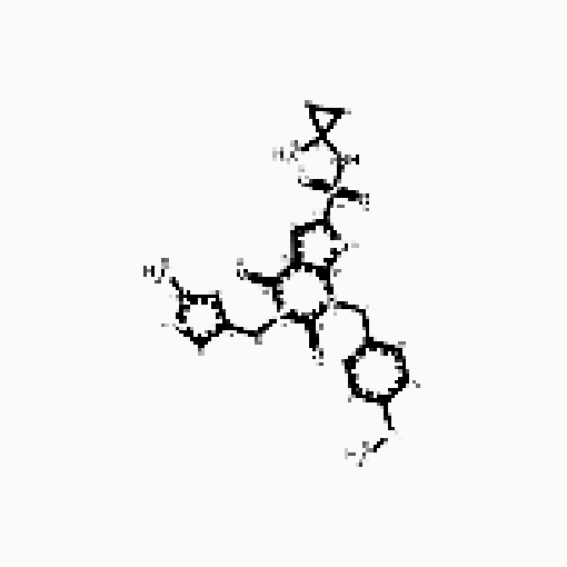 COc1ccc(Cn2c(=O)n(Cc3cnn(C)c3)c(=O)c3cc(S(=O)(=O)NC4(C)CC4)sc32)cc1